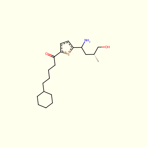 C[C@@H](CO)CC(N)c1ccc(C(=O)CCCCC2CCCCC2)s1